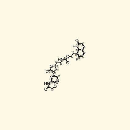 Cn1c(=O)ccc2ccc(F)c(CCOC(=O)NCCC3CN(c4cnc5c(n4)NC(=O)CO5)C(=O)O3)c21